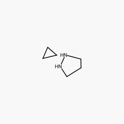 C1CC1.C1CNNC1